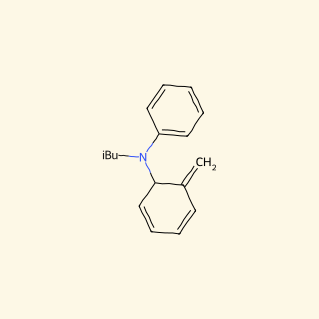 C=C1C=CC=CC1N(c1ccccc1)C(C)CC